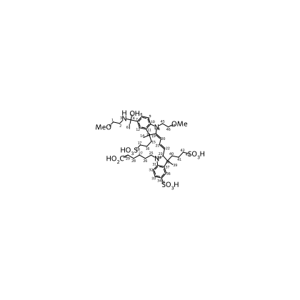 COCCNC(O)(I)c1ccc2c(c1)C(C)(CCCS(=O)(=O)O)/C(=C\C=C\C1=[N+](CCCCCC(=O)O)c3ccc(S(=O)(=O)O)cc3C1(C)CCCS(=O)(=O)O)N2CCOC